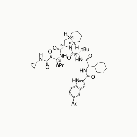 CCC[C@H](NC(=O)[C@@H]1C[C@@H]2CCCC[C@@H]2N1C(=O)[C@@H](NC(=O)C(NC(=O)c1cc2cc(C(C)=O)ccc2[nH]1)C1CCCCC1)C(C)(C)C)C(=O)C(=O)NC1CC1